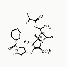 CC(NC(=O)C(F)F)[C@H]1C(=O)N2C(C(=O)O)=C(S[C@@H]3CN[C@H](C(=O)N4CCSCC4)C3)[C@H](C)[C@H]12